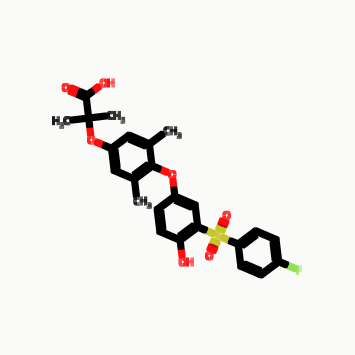 Cc1cc(OC(C)(C)C(=O)O)cc(C)c1Oc1ccc(O)c(S(=O)(=O)c2ccc(F)cc2)c1